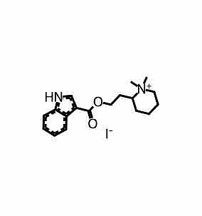 C[N+]1(C)CCCCC1CCOC(=O)c1c[nH]c2ccccc12.[I-]